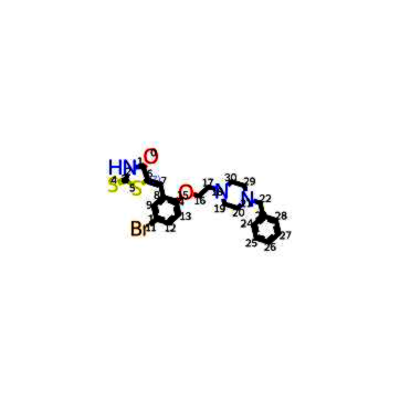 O=C1NC(=S)S/C1=C\c1cc(Br)ccc1OCCN1CCN(Cc2ccccc2)CC1